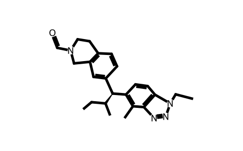 CCC(C)[C@@H](c1ccc2c(c1)CN(C=O)CC2)c1ccc2c(nnn2CC)c1C